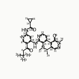 [2H]C([2H])([2H])CC(=O)c1cnc(NC(=O)C2CC2)cc1Nc1nccc2c1N(C)[C@H](C)c1cnn(C)c(=O)c1-2